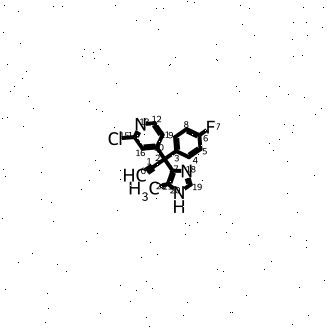 C#CC(c1ccc(F)cc1)(c1ccnc(Cl)c1)c1nc[nH]c1C